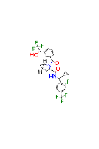 O=C(NC(c1ccc(C(F)(F)F)cc1F)C1CC1)[C@H]1C[C@H]2C[C@H]2N1C(=O)c1cccc(C(O)C(F)(F)F)c1